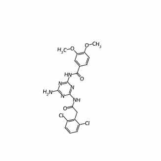 COc1ccc(C(=O)Nc2nc(N)nc(NC(=O)Cc3c(Cl)cccc3Cl)n2)cc1OC